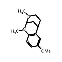 COc1ccc2c(c1)C1CCN(C)C(C1)N2C